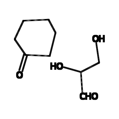 O=C1CCCCC1.O=CC(O)CO